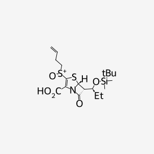 C=CCC[S+]([O-])C1=C(C(=O)O)N2C(=O)[C@@H]([C@H](CC)O[Si](C)(C)C(C)(C)C)[C@H]2S1